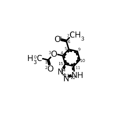 CC(=O)Oc1c(C(C)=O)ccc2[nH]nnc12